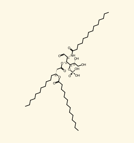 CCCCCCCCCCCCCC(=O)N[C@@H](C=O)[C@@H](OC(=O)C[C@@H](CCCCCCCCCCC)OC(=O)CCCCCCCCCCCCC)[C@H](OP(=O)(O)O)[C@H](O)CO